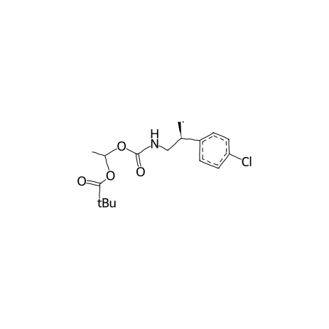 [CH2][C@H](CNC(=O)OC(C)OC(=O)C(C)(C)C)c1ccc(Cl)cc1